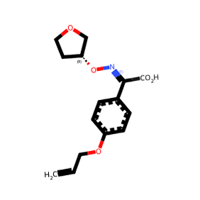 C=CCOc1ccc(/C(=N\O[C@@H]2CCOC2)C(=O)O)cc1